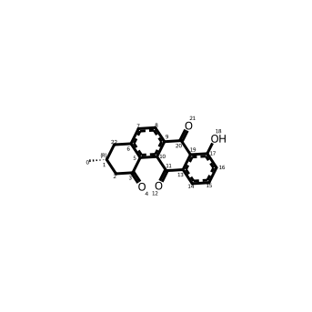 C[C@H]1CC(=O)c2c(ccc3c2C(=O)c2cccc(O)c2C3=O)C1